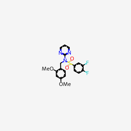 COc1ccc(CN(c2ncccn2)S(=O)(=O)c2ccc(F)c(F)c2)c(OC)c1